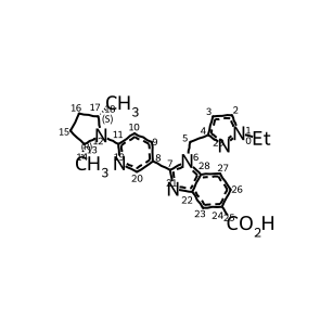 CCn1ccc(Cn2c(-c3ccc(N4[C@H](C)CC[C@@H]4C)nc3)nc3cc(C(=O)O)ccc32)n1